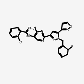 Nc1nc(-c2cc(-c3ccon3)n(CC3=CC=CCC3F)n2)ncc1NC(=O)c1ccccc1Cl